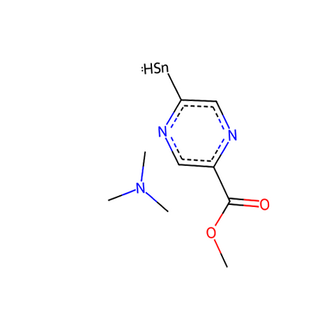 CN(C)C.COC(=O)c1cn[c]([SnH])cn1